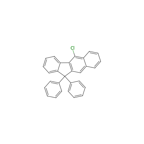 Clc1c2c(cc3ccccc13)C(c1ccccc1)(c1ccccc1)c1ccccc1-2